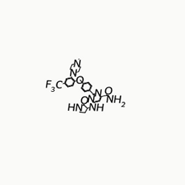 CN1CCN(c2cc(C(F)(F)F)ccc2Oc2ccc(-c3nc(NC4CCNC4=O)cc(C(N)=O)n3)cc2)CC1